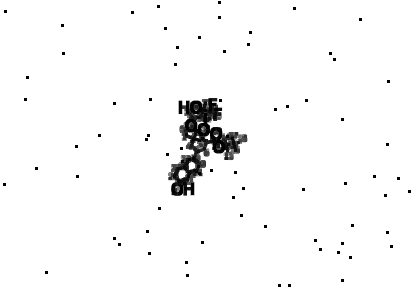 CCC(C)(CC(CC(C)C(=O)OC(C)(C)C(C)(C)C)c1ccc2cc(O)ccc2c1)C(=O)OC(C)CC(C)(O)C(F)(F)F